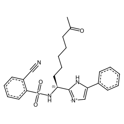 CC(=O)CCCCC[C@H](NS(=O)(=O)c1ccccc1C#N)C1=[N+]C=C(c2ccccc2)N1